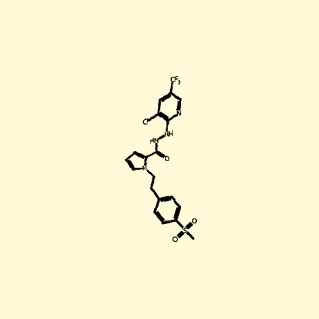 CS(=O)(=O)c1ccc(CCn2cccc2C(=O)NNc2ncc(C(F)(F)F)cc2Cl)cc1